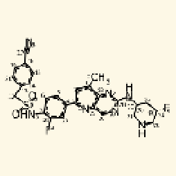 Cc1cc(-c2ccc(NS(=O)(=O)Cc3ccc(C#N)cc3)c(F)c2)nc2cnc(N[C@@H]3CNC[C@@H](F)C3)nc12